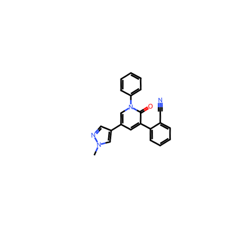 Cn1cc(-c2cc(-c3ccccc3C#N)c(=O)n(-c3ccccc3)c2)cn1